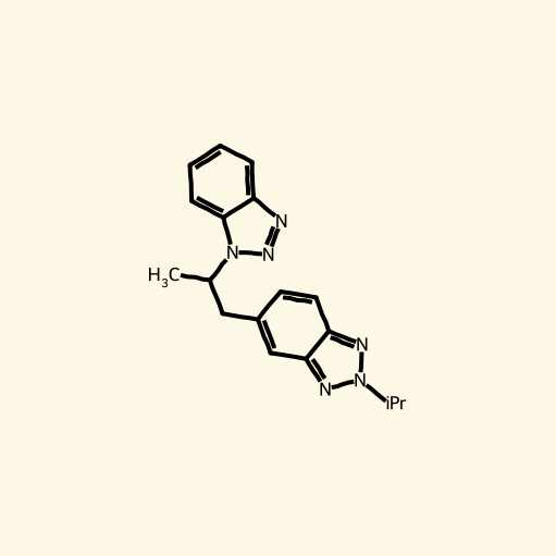 CC(C)n1nc2ccc(CC(C)n3nnc4ccccc43)cc2n1